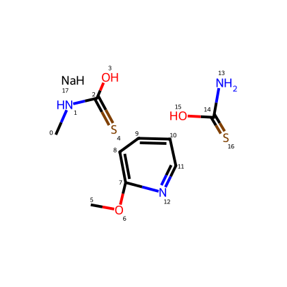 CNC(O)=S.COc1ccccn1.NC(O)=S.[NaH]